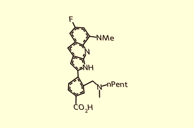 CCCCCN(C)Cc1cc(C(=O)O)ccc1-c1cc2cc3cc(F)cc(NC)c3nc2[nH]1